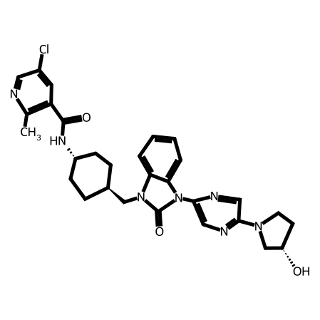 Cc1ncc(Cl)cc1C(=O)N[C@H]1CC[C@H](Cn2c(=O)n(-c3cnc(N4CC[C@H](O)C4)cn3)c3ccccc32)CC1